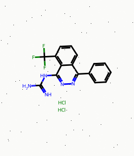 Cl.Cl.N=C(N)Nc1nnc(-c2ccccc2)c2cccc(C(F)(F)F)c12